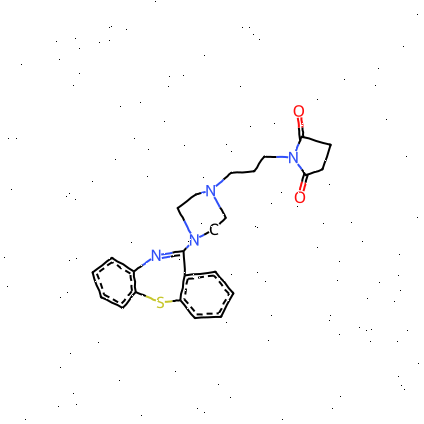 O=C1CCC(=O)N1CCCN1CCN(C2=Nc3ccccc3Sc3ccccc32)CC1